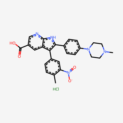 Cc1ccc(-c2c(-c3ccc(N4CCN(C)CC4)cc3)[nH]c3ncc(C(=O)O)cc23)cc1[N+](=O)[O-].Cl